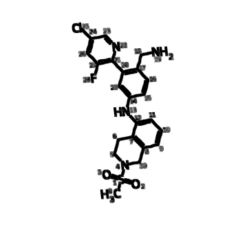 CS(=O)(=O)N1CCc2c(cccc2Nc2ccc(CN)c(-c3ncc(Cl)cc3F)c2)C1